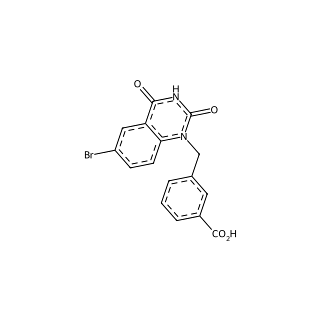 O=C(O)c1cccc(Cn2c(=O)[nH]c(=O)c3cc(Br)ccc32)c1